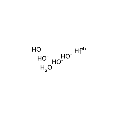 O.[Hf+4].[OH-].[OH-].[OH-].[OH-]